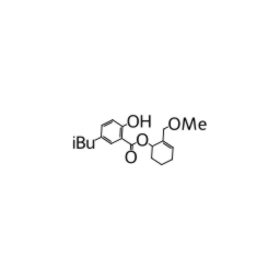 CCC(C)c1ccc(O)c(C(=O)OC2CCCC=C2COC)c1